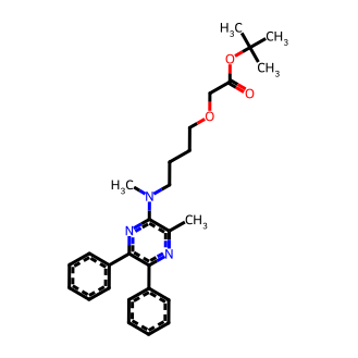 Cc1nc(-c2ccccc2)c(-c2ccccc2)nc1N(C)CCCCOCC(=O)OC(C)(C)C